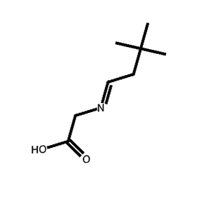 CC(C)(C)CC=NCC(=O)O